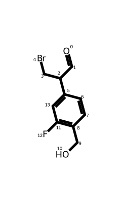 O=CC(CBr)c1ccc(CO)c(F)c1